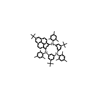 Cc1cc(C)c(N2c3cc(cc(C(C)(C)C)c3)N(c3c(C)cc(C)cc3C)c3cc(c4ccc5cc(C(C)(C)C)cc6ccc3c4c65)N(c3c(C)cc(C)cc3C)c3cc2cc(C(C)(C)C)c3)c(C)c1